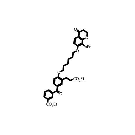 CCCc1c(OCCCCCCOc2ccc(C(=O)c3cccc(C(=O)OCC)c3)cc2CCC(=O)OCC)ccc2c1OCCC2=O